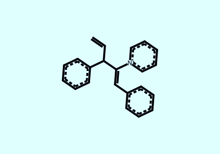 C=CC(C(=Cc1ccccc1)[n+]1ccccc1)c1ccccc1